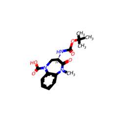 CN1C(=O)[C@@H](NC(=O)OC(C)(C)C)CN(C(=O)O)c2ccccc21